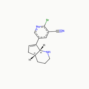 N#Cc1cc(C2=CC[C@H]3CCCN[C@@H]23)cnc1Br